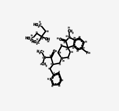 CN(C)C(=O)C(Cc1ccccn1)CN1CCC2(CC1)C(=O)N(C)c1ccc(F)cc12.O=C(O)CC(O)(CC(=O)O)C(=O)O